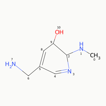 CNC1N=CC(CN)=CC1O